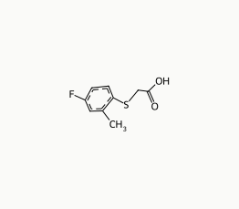 Cc1cc(F)ccc1SCC(=O)O